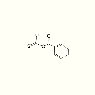 O=C(OC(=S)Cl)c1ccccc1